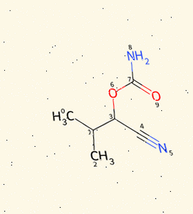 CC(C)C(C#N)OC(N)=O